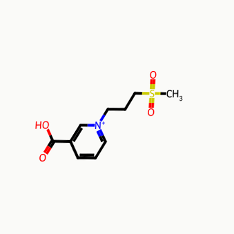 CS(=O)(=O)CCC[n+]1cccc(C(=O)O)c1